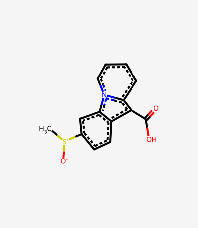 C[S+]([O-])c1ccc2c(C(=O)O)c3ccccn3c2c1